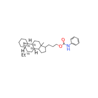 CC[C@H]1C[C@H]2C3CCC(CCCOC(=O)Nc4ccccc4)C3(C)CC[C@@H]2[C@@]2(C)CCCC[C@@H]12